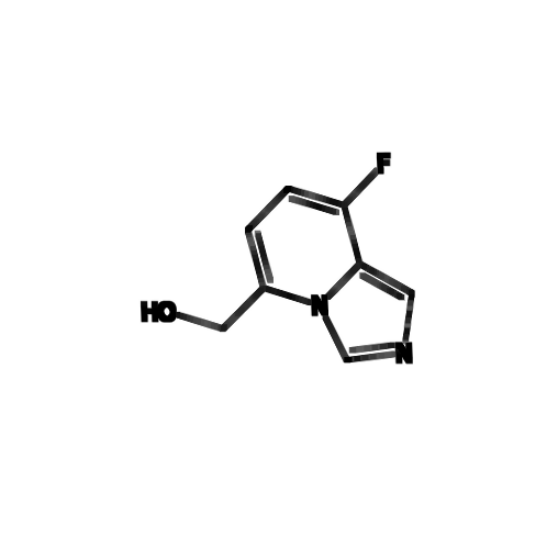 OCc1ccc(F)c2cncn12